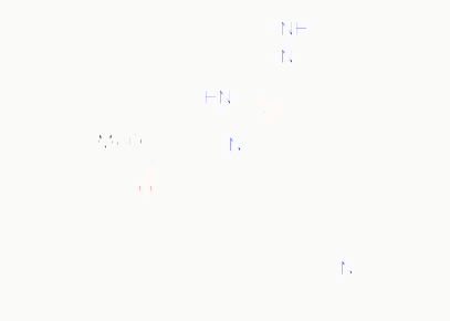 COC(=O)c1cc(NC(=O)c2cc[nH]n2)nc(-c2ccc(-c3cccnc3)cc2)c1